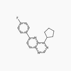 Fc1ccc(-c2ccc3ncnc(C4CCCC4)c3n2)cc1